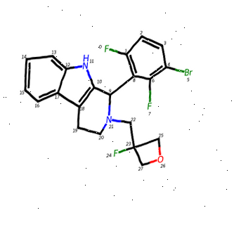 Fc1ccc(Br)c(F)c1C1c2[nH]c3ccccc3c2CCN1CC1(F)COC1